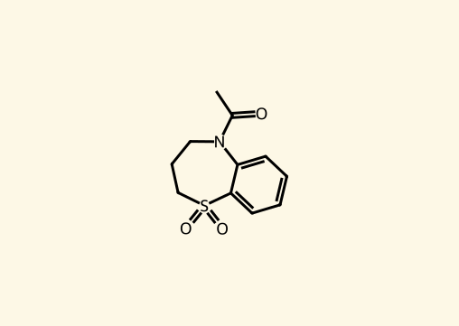 CC(=O)N1CCCS(=O)(=O)c2ccccc21